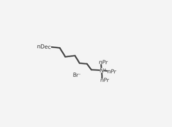 CCCCCCCCCCCCCCCC[N+](CCC)(CCC)CCC.[Br-]